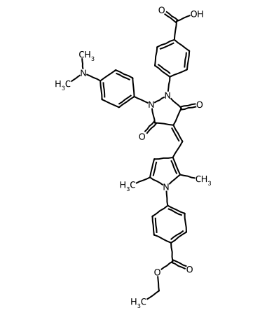 CCOC(=O)c1ccc(-n2c(C)cc(/C=C3/C(=O)N(c4ccc(C(=O)O)cc4)N(c4ccc(N(C)C)cc4)C3=O)c2C)cc1